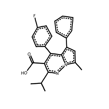 Cc1cc(-c2ccccc2)c2c(-c3ccc(F)cc3)c(C(=O)O)c(C(C)C)nn12